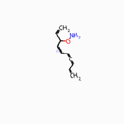 C=CC=C=C/C=C\C(C=C)ON